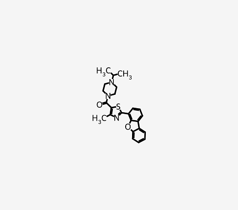 Cc1nc(-c2cccc3c2oc2ccccc23)sc1C(=O)N1CCN(C(C)C)CC1